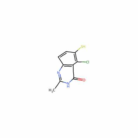 Cc1nc2ccc(S)c(Cl)c2c(=O)[nH]1